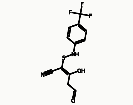 N#CC(SNc1ccc(C(F)(F)F)cc1)=C(O)CC=O